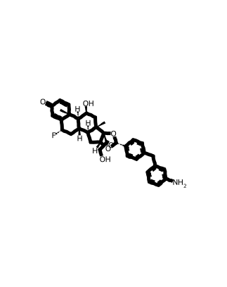 C[C@]12C=CC(=O)C=C1[C@@H](F)C[C@@H]1[C@@H]2[C@@H](O)C[C@@]2(C)[C@H]1C[C@H]1O[C@@H](c3ccc(Cc4cccc(N)c4)cc3)O[C@]12C(=O)CO